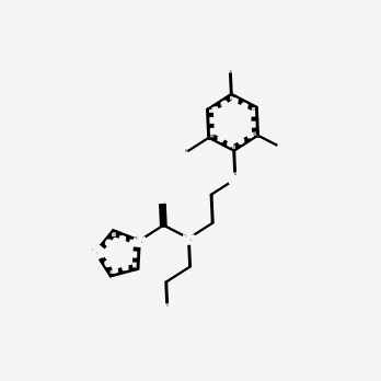 C=C(N(CCC)CCOc1c(Cl)cc(Cl)cc1Cl)n1ccnc1